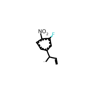 [CH2]C(C=C)c1ccc([N+](=O)[O-])c(F)c1